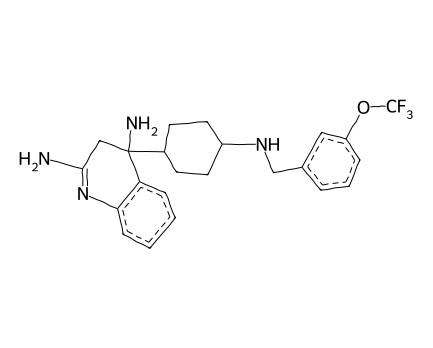 NC1=Nc2ccccc2C(N)(C2CCC(NCc3cccc(OC(F)(F)F)c3)CC2)C1